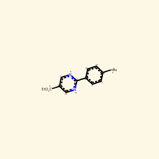 CCCCc1ccc(-c2ncc(C(=O)OCC)cn2)cc1